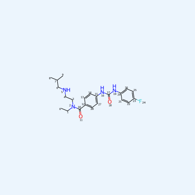 CCN(CCNCC(C)C)C(=O)c1ccc(NC(=O)Nc2ccc(F)cc2)cc1